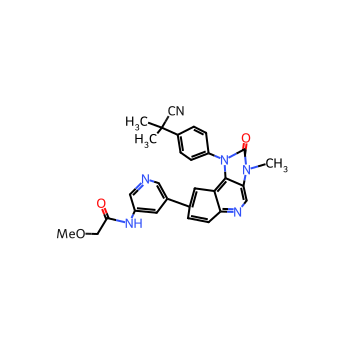 COCC(=O)Nc1cncc(-c2ccc3ncc4c(c3c2)n(-c2ccc(C(C)(C)C#N)cc2)c(=O)n4C)c1